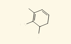 NC1=C(F)C=CCC1F